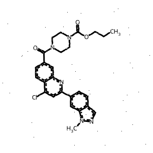 CCCOC(=O)N1CCN(C(=O)c2ccc3c(Cl)cc(-c4ccc5cnn(C)c5c4)nc3c2)CC1